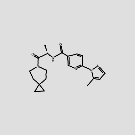 Cc1ccnn1-c1ccc(C(=O)N[C@H](C)C(=O)N2CCC3(CC2)CC3)cn1